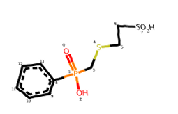 O=P(O)(CSCCS(=O)(=O)O)c1ccccc1